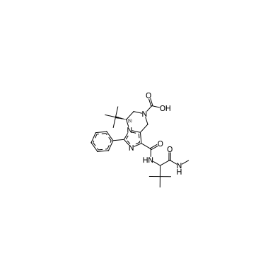 CNC(=O)C(NC(=O)c1nc(-c2ccccc2)n2c1CN(C(=O)O)C[C@@H]2C(C)(C)C)C(C)(C)C